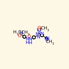 CC1CN(c2nc(-c3ccc(NC(=O)Nc4ccc(C(=O)N(C)C)cc4)cc3)nc3cc(-c4cnn(C)c4)cnc23)CCO1